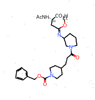 CCOC(C[C@H](NC(C)=O)C(=O)O)=NC1CCCN(C(=O)CCC2CCN(C(=O)OCc3ccccc3)CC2)C1